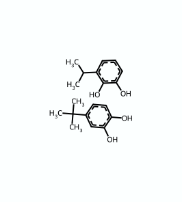 CC(C)(C)c1ccc(O)c(O)c1.CC(C)c1cccc(O)c1O